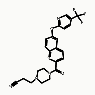 N#CCCN1CCN(C(=O)c2ccc3cc(Oc4ccc(C(F)(F)F)cn4)ccc3n2)CC1